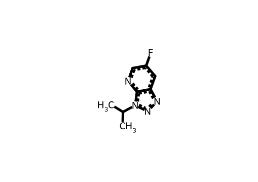 CC(C)n1nnc2cc(F)cnc21